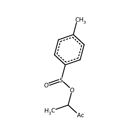 CC(=O)C(C)OS(=O)c1ccc(C)cc1